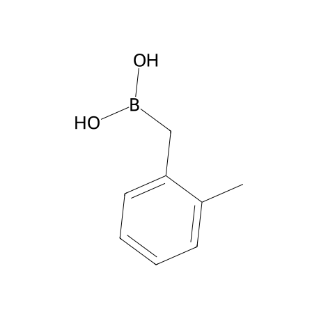 Cc1ccccc1CB(O)O